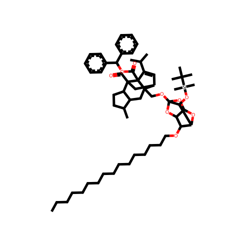 CCCCCCCCCCCCCCCCOC1C2OC3(OCC45CC6C(C)CCC6C6(C=O)CC4C=C(C(C)C)C65C(=O)OC(c4ccccc4)c4ccccc4)OC2OC1C3O[Si](C)(C)C(C)(C)C